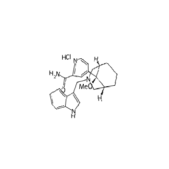 CO[C@]1(c2ccnc(C(N)=O)c2)[C@@H]2CCC[C@H]1CN(Cc1c[nH]c3ccccc13)C2.Cl